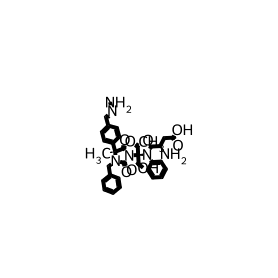 CC(=O)[C@](C(=O)O)(N1C(=O)N(Cc2ccccc2)[C@@](C)(c2ccc(C=NN)cc2)C1=O)N(C(=O)[C@@H](N)CC(=O)O)c1ccccc1